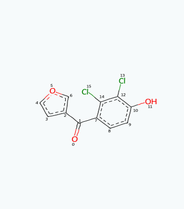 O=C(c1ccoc1)c1ccc(O)c(Cl)c1Cl